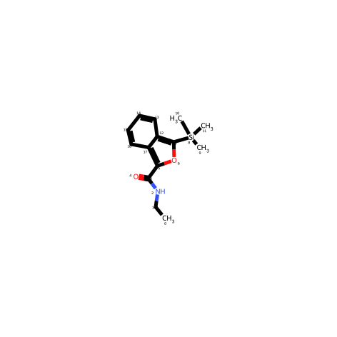 CCNC(=O)c1oc([Si](C)(C)C)c2ccccc12